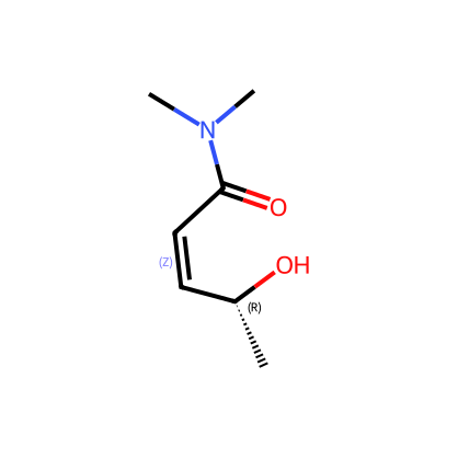 C[C@@H](O)/C=C\C(=O)N(C)C